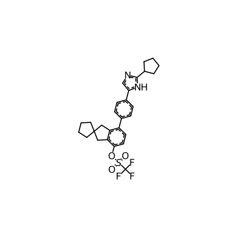 O=S(=O)(Oc1ccc(-c2ccc(-c3cnc(C4CCCC4)[nH]3)cc2)c2c1CC1(CCCC1)C2)C(F)(F)F